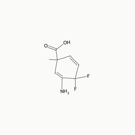 CC1(C(=O)O)C=CC(F)(F)C(N)=C1